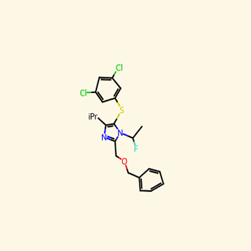 CC(C)c1nc(COCc2ccccc2)n(C(C)F)c1Sc1cc(Cl)cc(Cl)c1